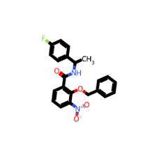 CC(NC(=O)c1cccc([N+](=O)[O-])c1OCc1ccccc1)c1ccc(F)cc1